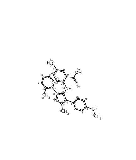 COc1ccc(-c2c(C)nn(-c3ccccc3C)c2Nc2ccc(C)cc2C(=O)O)cc1